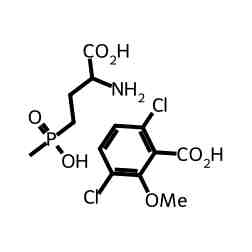 COc1c(Cl)ccc(Cl)c1C(=O)O.CP(=O)(O)CCC(N)C(=O)O